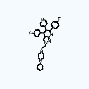 Fc1ccc(-c2nc3nn(CCN4CCN(c5ccccc5)CC4)cc3c(-c3ccc(F)cc3)c2-c2ccncc2)cc1